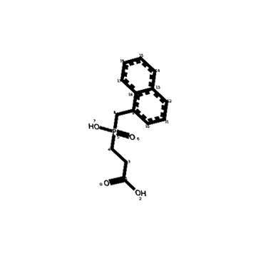 O=C(O)CCP(=O)(O)Cc1cccc2ccccc12